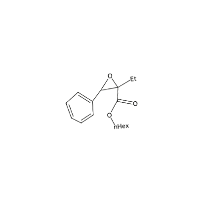 CCCCCCOC(=O)C1(CC)OC1c1ccccc1